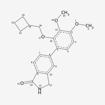 COc1ccc(-c2ccc3c(c2)CNC3=O)c(OCC2CCC2)c1OC